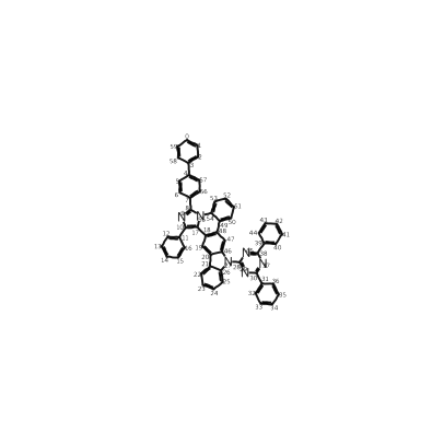 c1ccc(-c2ccc(-c3nc(-c4ccccc4)c4c5cc6c7ccccc7n(-c7nc(-c8ccccc8)nc(-c8ccccc8)n7)c6cc5c5ccccc5n34)cc2)cc1